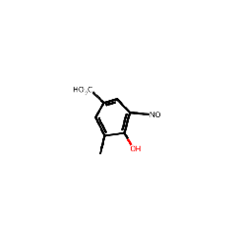 Cc1cc(C(=O)O)cc(N=O)c1O